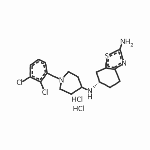 Cl.Cl.Nc1nc2c(s1)C[C@@H](NC1CCN(c3cccc(Cl)c3Cl)CC1)CC2